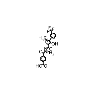 C/C(=N\NC(=O)c1ccc(C(=O)O)cc1)c1nn(C)c(-c2cccc(C(F)(F)F)c2)c1O